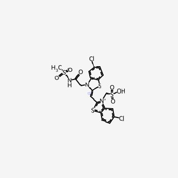 CS(=O)(=O)NC(=O)CN1/C(=C/c2sc3ccc(Cl)cc3[n+]2CS(=O)(=O)O)Sc2ccc(Cl)cc21